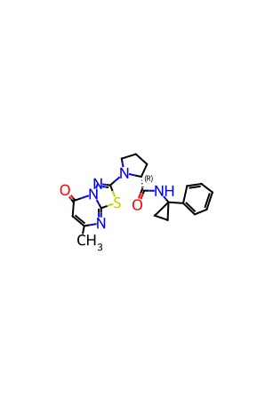 Cc1cc(=O)n2nc(N3CCC[C@@H]3C(=O)NC3(c4ccccc4)CC3)sc2n1